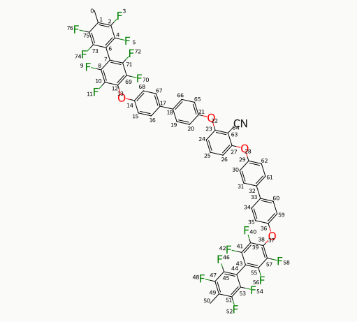 Cc1c(F)c(F)c(-c2c(F)c(F)c(Oc3ccc(-c4ccc(Oc5cccc(Oc6ccc(-c7ccc(Oc8c(F)c(F)c(-c9c(F)c(F)c(C)c(F)c9F)c(F)c8F)cc7)cc6)c5C#N)cc4)cc3)c(F)c2F)c(F)c1F